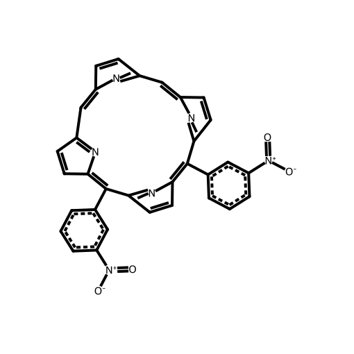 O=[N+]([O-])c1cccc(C2=C3C=CC(=N3)C=C3C=CC(=N3)C=C3C=CC(=N3)C(c3cccc([N+](=O)[O-])c3)=C3C=CC2=N3)c1